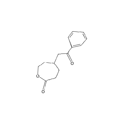 O=C1CCC(CC(=O)c2ccccc2)CCO1